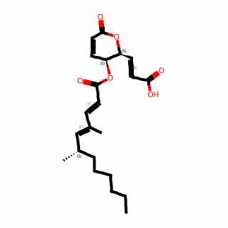 CCCCCC[C@H](C)/C=C(C)/C=C/C(=O)O[C@H]1C=CC(=O)O[C@H]1/C=C/C(=O)O